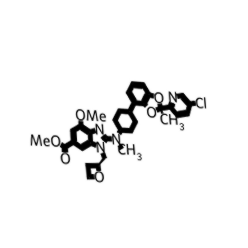 COC(=O)c1cc(OC)c2nc(N(C)C3CCC(c4cccc5c4O[C@@](C)(c4ccc(Cl)cn4)O5)CC3)n(C[C@@H]3CCO3)c2c1